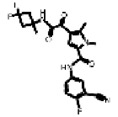 Cc1c(C(=O)C(=O)NC2(C)CC(F)(F)C2)cc(C(=O)Nc2ccc(F)c(C#N)c2)n1C